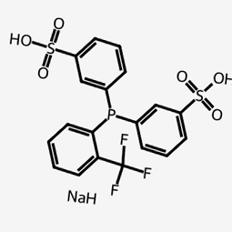 O=S(=O)(O)c1cccc(P(c2cccc(S(=O)(=O)O)c2)c2ccccc2C(F)(F)F)c1.[NaH]